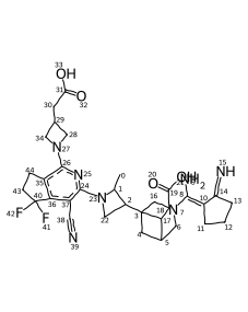 CC1C(C23CC(CN(/C(N)=C4\CCCC4=N)C2)C3CC(=O)O)CN1c1nc(N2CC(CC(=O)O)C2)c2c(c1C#N)C(F)(F)CC2